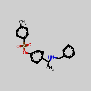 Cc1ccc(S(=O)(=O)Oc2ccc(C(C)NCc3ccccc3)cc2)cc1